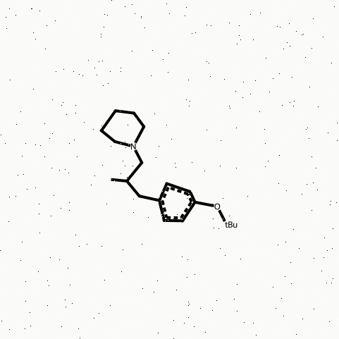 CC(Cc1ccc(OC(C)(C)C)cc1)CN1CCCCC1